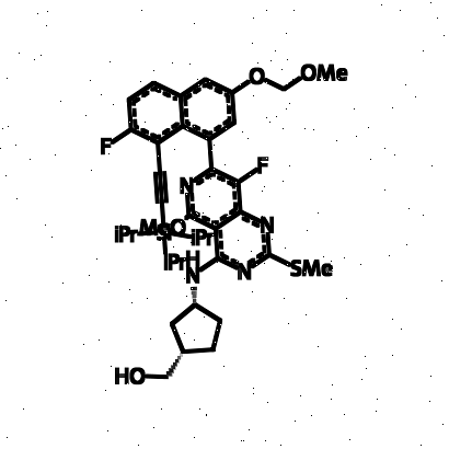 COCOc1cc(-c2nc(OC)c3c(N[C@@H]4CC[C@H](CO)C4)nc(SC)nc3c2F)c2c(C#C[Si](C(C)C)(C(C)C)C(C)C)c(F)ccc2c1